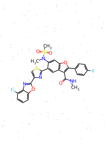 CNC(=O)c1c(-c2ccc(F)cc2)oc2cc(N(C)S(C)(=O)=O)c(-c3nc(-c4nc5c(F)cccc5o4)cs3)cc12